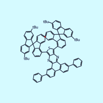 CC(C)(C)c1ccc2c(c1)C1(c3cc(C(C)(C)C)ccc3-2)c2ccccc2-c2c(-c3sc(-c4cccc5c4-c4ccccc4C54c5cc(C(C)(C)C)ccc5-c5ccc(C(C)(C)C)cc54)c4nc5c6cc(-c7ccccc7)ccc6c6ccc(-c7ccccc7)cc6c5nc34)cccc21